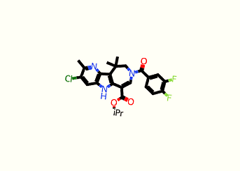 Cc1nc2c3c([nH]c2cc1Cl)C(C(=O)OC(C)C)=CN(C(=O)c1ccc(F)c(F)c1)CC3(C)C